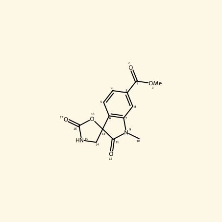 COC(=O)c1ccc2c(c1)N(C)C(=O)C21CNC(=O)O1